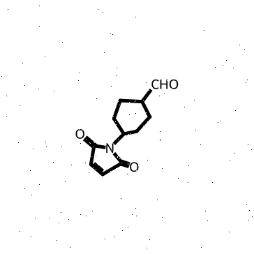 O=CC1CCC(N2C(=O)C=CC2=O)CC1